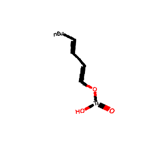 CCCCC=CC=C[O][Ti](=[O])[OH]